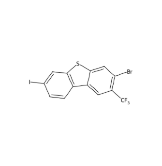 FC(F)(F)c1cc2c(cc1Br)sc1cc(I)ccc12